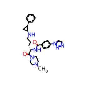 CN1CCN(C(=O)[C@H](CCCN[C@@H]2C[C@H]2c2ccccc2)NC(=O)c2ccc(-n3ccnn3)cc2)CC1